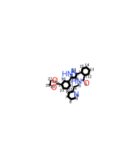 O=C(NCCc1ccccn1)c1ccccc1-c1cc(-c2cccc(C3OCCO3)c2)[nH]n1